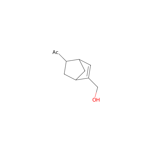 CC(=O)C1CC2CC1C=C2CO